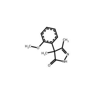 COc1ccccc1C1(C)C(=O)NN=C1C